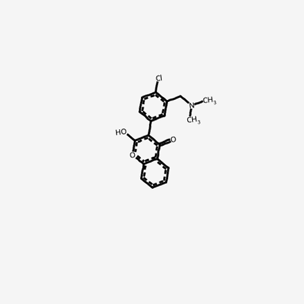 CN(C)Cc1cc(-c2c(O)oc3ccccc3c2=O)ccc1Cl